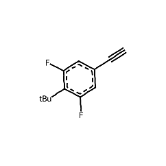 C#Cc1cc(F)c(C(C)(C)C)c(F)c1